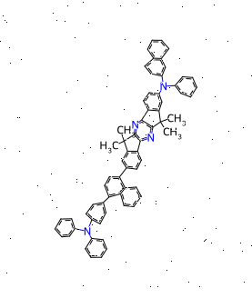 CC1(C)c2cc(-c3ccc(-c4ccc(N(c5ccccc5)c5ccccc5)cc4)c4ccccc34)ccc2-c2nc3c(nc21)-c1ccc(N(c2ccccc2)c2ccc4ccccc4c2)cc1C3(C)C